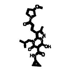 COC1CCN(C(=O)C=Cc2c(C)nn3c(O)c(C(=O)NC4CC4)c(=O)n(CC(C)C)c23)C1